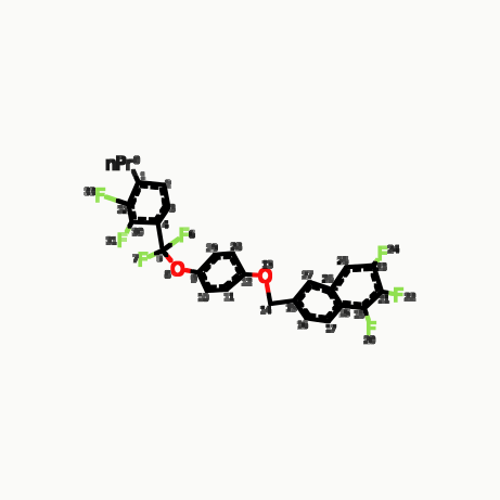 CCCc1ccc(C(F)(F)Oc2ccc(OCc3ccc4c(F)c(F)c(F)cc4c3)cc2)c(F)c1F